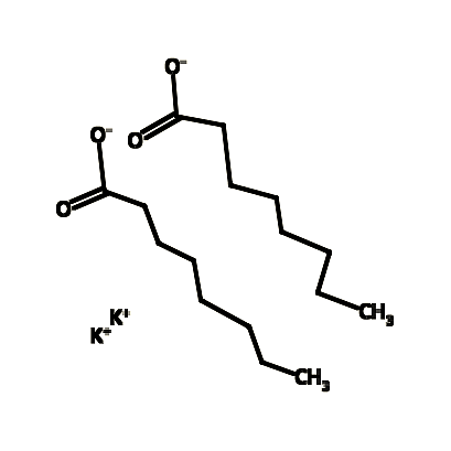 CCCCCCCC(=O)[O-].CCCCCCCC(=O)[O-].[K+].[K+]